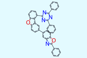 c1ccc(-c2nc(-c3ccccc3)nc(-c3cccc4oc5ccc(-c6ccc7oc(-c8ccccc8)nc7c6)cc5c34)n2)cc1